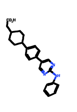 O=C(O)CC1CCC(c2ccc(-c3cnc(Nc4ccccc4)nc3)cc2)CC1